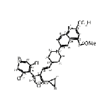 COCc1cc(C(=O)O)nc2ccc(N3CCC(/C=C/c4c(-c5c(Cl)cncc5Cl)noc4C4CC4)CC3)cc12